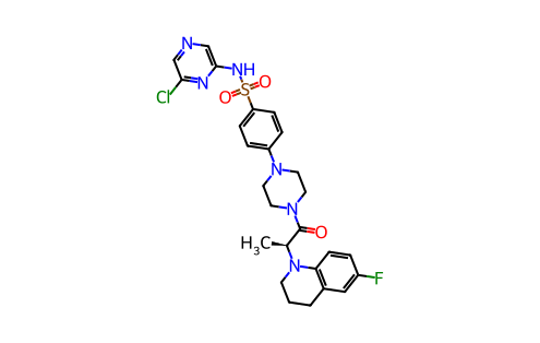 C[C@@H](C(=O)N1CCN(c2ccc(S(=O)(=O)Nc3cncc(Cl)n3)cc2)CC1)N1CCCc2cc(F)ccc21